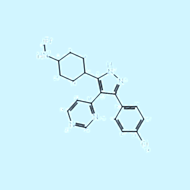 CC(C)NC1CCC(c2[nH]nc(-c3ccc(Cl)cc3)c2-c2ccncn2)CC1